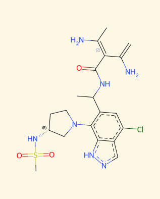 C=C(N)/C(C(=O)NC(C)c1cc(Cl)c2cn[nH]c2c1N1CC[C@@H](NS(C)(=O)=O)C1)=C(\C)N